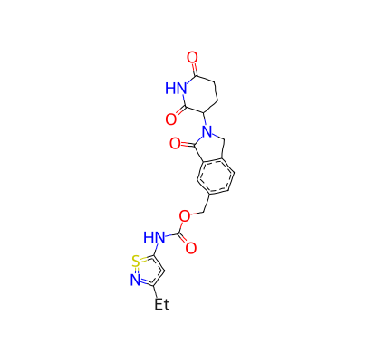 CCc1cc(NC(=O)OCc2ccc3c(c2)C(=O)N(C2CCC(=O)NC2=O)C3)sn1